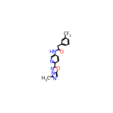 Cc1ncc2oc(-c3ccc(NC(=O)Cc4cccc(C(F)(F)F)c4)cn3)nn12